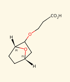 O=C(O)CCOC1C[C@@H]2CC[C@H]1O2